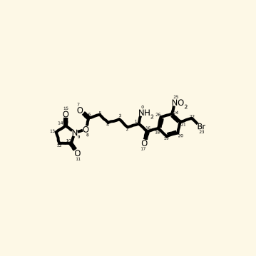 NC(CCCCC(=O)ON1C(=O)CCC1=O)C(=O)c1ccc(CBr)c([N+](=O)[O-])c1